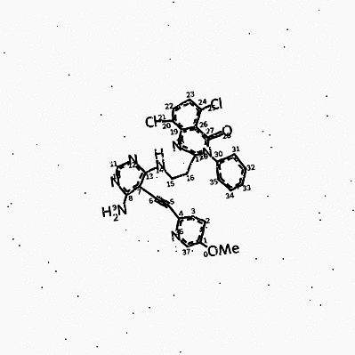 COc1ccc(C#Cc2c(N)ncnc2NCCc2nc3c(Cl)ccc(Cl)c3c(=O)n2-c2ccccc2)nc1